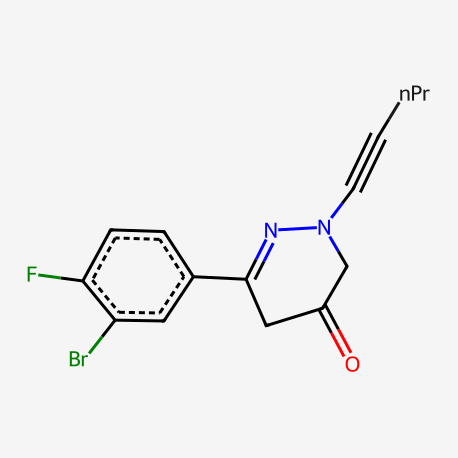 CCCC#CN1CC(=O)CC(c2ccc(F)c(Br)c2)=N1